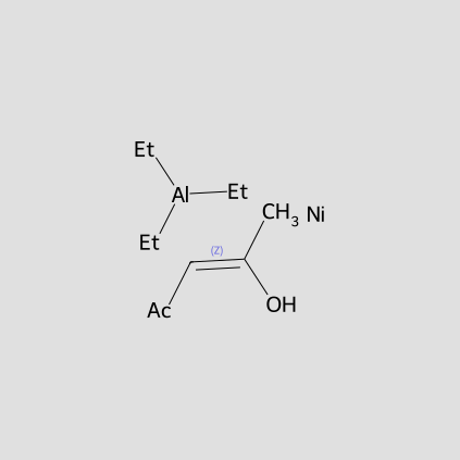 CC(=O)/C=C(/C)O.C[CH2][Al]([CH2]C)[CH2]C.[Ni]